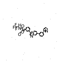 O=CON(C(=O)NCC(F)(F)F)c1cccc(-c2cnc3cc(-c4cccc(-n5cccn5)c4)ccn23)c1